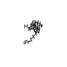 C[C](C)CCCCCc1cc2c(C3CC3)c([Si](C)(C)C)[nH]c2nn1